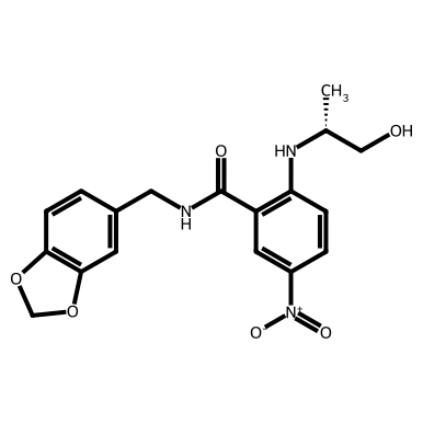 C[C@H](CO)Nc1ccc([N+](=O)[O-])cc1C(=O)NCc1ccc2c(c1)OCO2